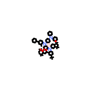 CCc1cc2c3c(c1)N(c1ccc(C(C)(C)C)cc1-c1ccc4c(c1)C(C)(C)CCC4(C)C)c1cc4c(cc1B3c1cc(N(c3ccccc3)c3ccccc3)ccc1N2c1ccc(-c2ccccc2)cc1C)C(C)(C)CC4(C)C